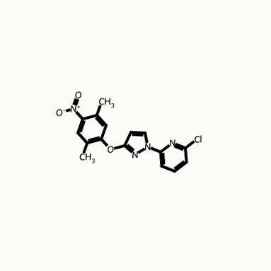 Cc1cc([N+](=O)[O-])c(C)cc1Oc1ccn(-c2cccc(Cl)n2)n1